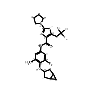 Cc1cc(NC(=O)c2nc(N3CCCC3)sc2CC(F)(F)F)cc(F)c1OC1CC2CC2C1